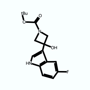 CC(C)(C)OC(=O)N1CC(O)(c2c[nH]c3ccc(F)cc23)C1